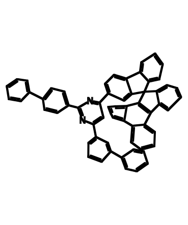 c1ccc(-c2ccc(-c3nc(-c4cccc(-c5ccccc5)c4)cc(-c4ccc5c(c4)C4(c6ccccc6-5)c5ccccc5-c5c4c4ccccc4c4ccccc54)n3)cc2)cc1